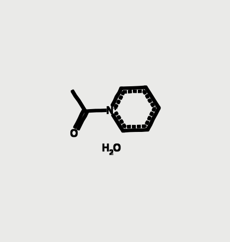 CC(=O)[n+]1ccccc1.O